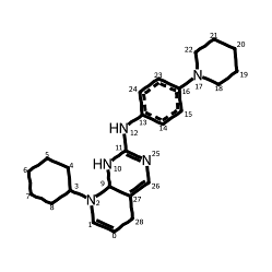 C1=CN(C2CCCCC2)C2NC(Nc3ccc(N4CCCCC4)cc3)=NC=C2C1